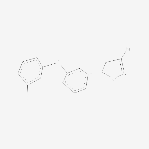 FC(F)(F)c1cccc(Oc2cccc([C@@H]3CC(Br)=NO3)c2)c1